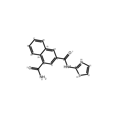 NC(=O)c1[c]c(C(=O)Nc2nccs2)cc2ccccc12